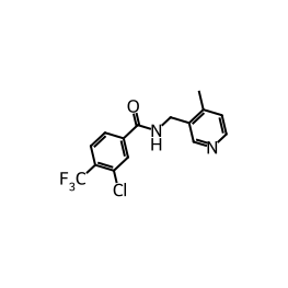 Cc1ccncc1CNC(=O)c1ccc(C(F)(F)F)c(Cl)c1